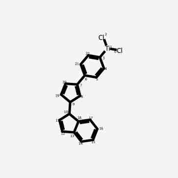 [Cl][Ti]([Cl])[c]1ccc(C2=CC(C3C=Cc4ccccc43)C=C2)cc1